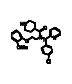 COc1ccccc1OCCN(C(=O)C1CCNCC1)[C@H](c1ccc(Cl)cc1)c1ccccn1